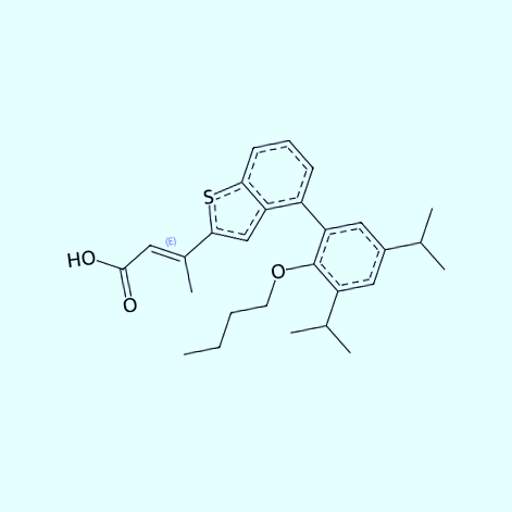 CCCCOc1c(-c2cccc3sc(/C(C)=C/C(=O)O)cc23)cc(C(C)C)cc1C(C)C